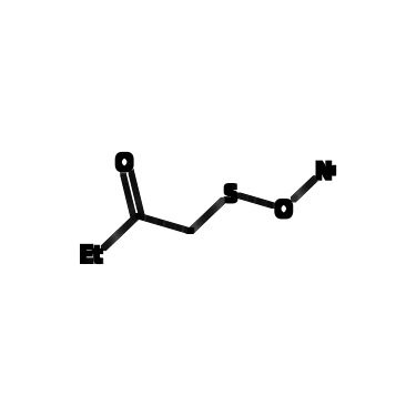 CCC(=O)CSO[N]